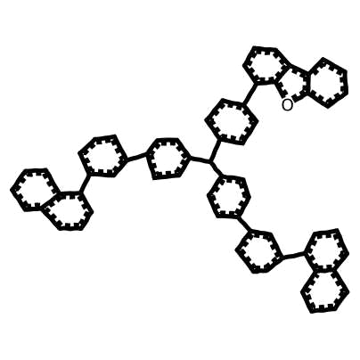 c1cc(-c2ccc(C(c3ccc(-c4cccc(-c5cccc6ccccc56)c4)cc3)c3ccc(-c4cccc5c4oc4ccccc45)cc3)cc2)cc(-c2cccc3ccccc23)c1